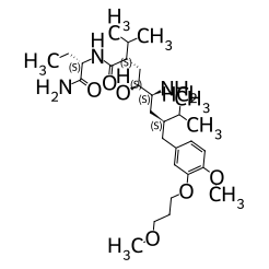 CC[C@H](NC(=O)[C@@H](C[C@H](O)[C@@H](N)C[C@H](Cc1ccc(OC)c(OCCCOC)c1)C(C)C)C(C)C)C(N)=O.Cl